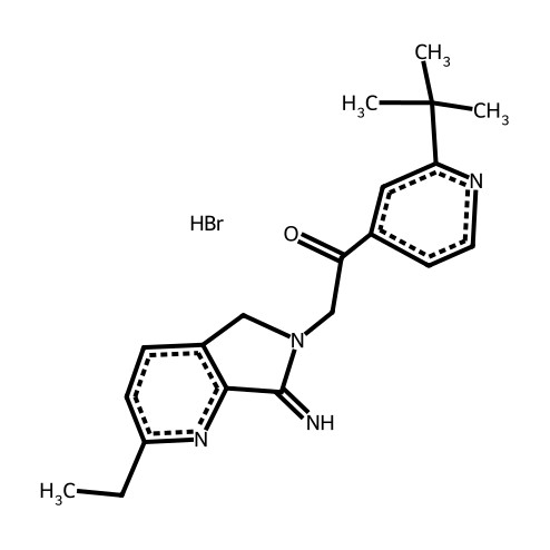 Br.CCc1ccc2c(n1)C(=N)N(CC(=O)c1ccnc(C(C)(C)C)c1)C2